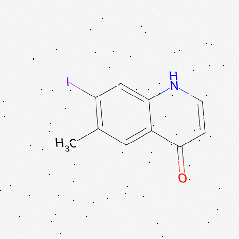 Cc1cc2c(=O)cc[nH]c2cc1I